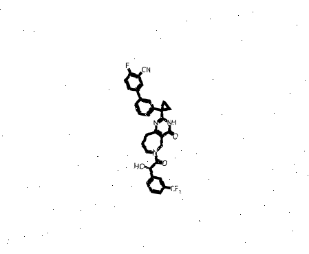 N#Cc1cc(-c2cccc(C3(c4nc5c(c(=O)[nH]4)CN(C(=O)[C@H](O)c4cccc(C(F)(F)F)c4)CCC5)CC3)c2)ccc1F